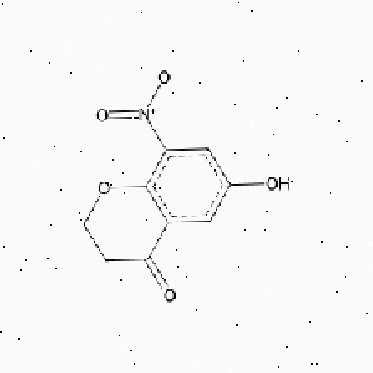 O=C1CCOc2c1cc(O)cc2[N+](=O)[O-]